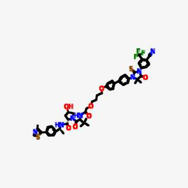 Cc1ncsc1-c1ccc([C@H](C)NC(=O)[C@@H]2C[C@@H](O)CN2C(=O)C(NC(=O)COCCCCOc2ccc(-c3ccc(N4C(=S)N(c5ccc(C#N)c(C(F)(F)F)c5)C(=O)C4(C)C)cc3)cc2)C(C)(C)C)cc1